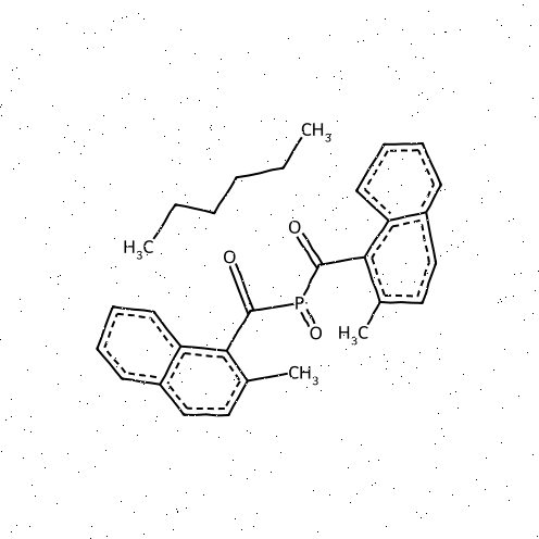 CCCCCC.Cc1ccc2ccccc2c1C(=O)[P](=O)C(=O)c1c(C)ccc2ccccc12